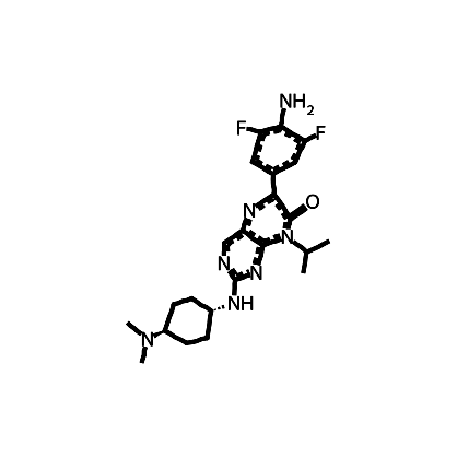 CC(C)n1c(=O)c(-c2cc(F)c(N)c(F)c2)nc2cnc(N[C@H]3CC[C@H](N(C)C)CC3)nc21